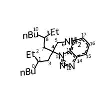 CCCCC(CC)CC(CN)(CC(CC)CCCC)n1nnc2ccccc21